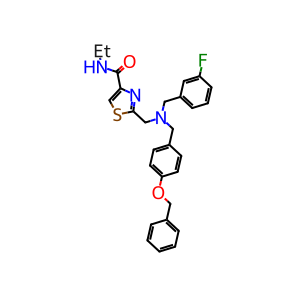 CCNC(=O)c1csc(CN(Cc2ccc(OCc3ccccc3)cc2)Cc2cccc(F)c2)n1